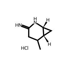 CC1CC(=N)N[C@@H]2C[C@H]12.Cl